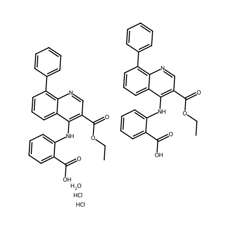 CCOC(=O)c1cnc2c(-c3ccccc3)cccc2c1Nc1ccccc1C(=O)O.CCOC(=O)c1cnc2c(-c3ccccc3)cccc2c1Nc1ccccc1C(=O)O.Cl.Cl.O